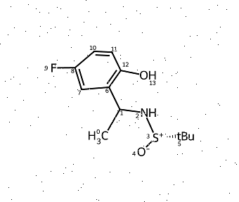 CC(N[S@@+]([O-])C(C)(C)C)c1cc(F)ccc1O